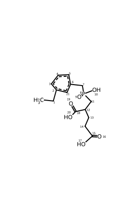 CCc1cccc(CP(=O)(O)CC(CCC(=O)O)C(=O)O)c1